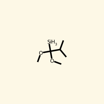 COC([SiH3])(OC)C(C)C